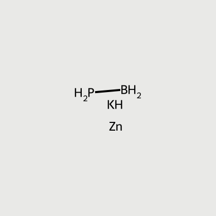 BP.[KH].[Zn]